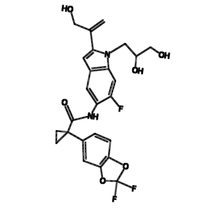 C=C(CO)c1cc2cc(NC(=O)C3(c4ccc5c(c4)OC(F)(F)O5)CC3)c(F)cc2n1CC(O)CO